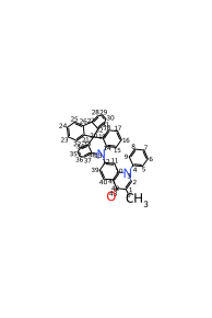 Cc1cn(-c2ccccc2)c2cc(N3c4ccccc4C4(c5ccccc5-c5ccccc54)c4ccccc43)ccc2c1=O